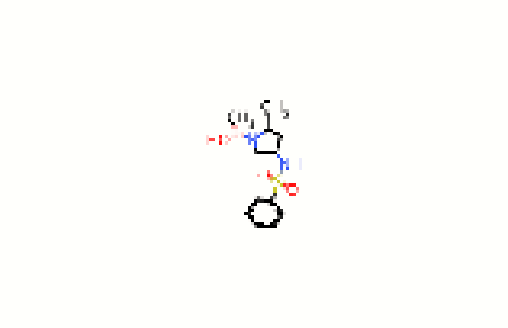 CB(O)N1C[C@H](NS(=O)(=O)c2ccccc2)C[C@@H]1C